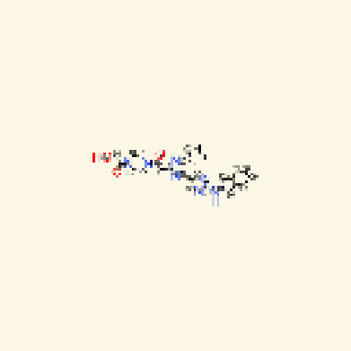 CCC1=NC(CC(=O)N2CCN(C(=O)CO)CC2)N=C1c1cnc(NC2Cc3ccccc3C2)nc1